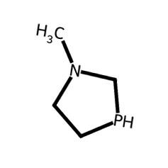 CN1CCPC1